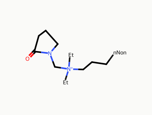 CCCCCCCCCCCC[N+](CC)(CC)CN1CCCC1=O